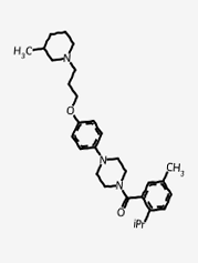 Cc1ccc(C(C)C)c(C(=O)N2CCN(c3ccc(OCCCN4CCCC(C)C4)cc3)CC2)c1